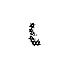 O=C1[C@@H](NS(=O)(=O)c2ccc(-c3ccncc3)s2)CCN1Cc1ccc2ccnc(Cl)c2c1